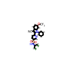 N#Cc1c(-c2ccc(S(=O)(=O)NC(CF)CF)cn2)n(C2CCCCC2)c2cc(OC(F)(F)F)ccc12